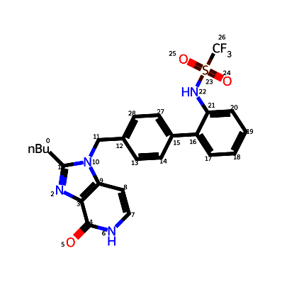 CCCCc1nc2c(=O)[nH]ccc2n1Cc1ccc(-c2ccccc2NS(=O)(=O)C(F)(F)F)cc1